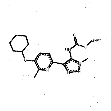 CCCCCOC(=O)Nc1c(-c2ccc(OC3CCCCC3)c(C)n2)nnn1C